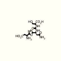 NC(=O)C[C@H](NC(=O)N[C@@H](CO)C(=O)O)c1nnc([C@@H](N)CC(=O)O)o1